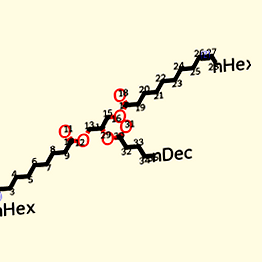 CCCCCC/C=C\CCCCCCCC(=O)OCC(COC(=O)CCCCCCC/C=C\CCCCCC)OC(=O)CCCCCCCCCCCCC